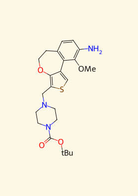 COc1c(N)ccc2c1-c1csc(CN3CCN(C(=O)OC(C)(C)C)CC3)c1OCC2